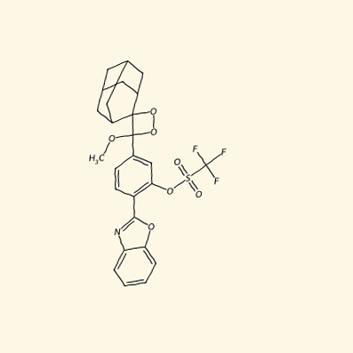 COC1(c2ccc(-c3nc4ccccc4o3)c(OS(=O)(=O)C(F)(F)F)c2)OOC12C1CC3CC(C1)CC2C3